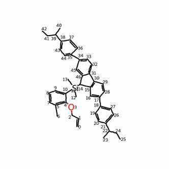 C=CCOc1c(C)cccc1[Si](C)(C)C1c2cc(-c3ccc(C(C)CC)cc3)ccc2-c2ccc(-c3ccc(C(C)CC)cc3)cc21